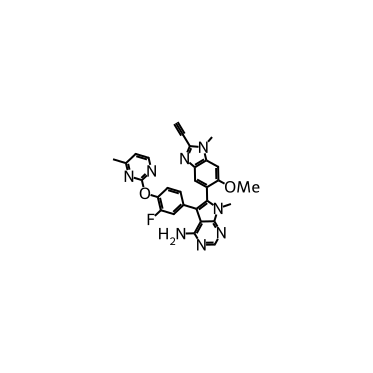 C#Cc1nc2cc(-c3c(-c4ccc(Oc5nccc(C)n5)c(F)c4)c4c(N)ncnc4n3C)c(OC)cc2n1C